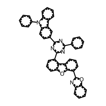 c1ccc(-c2nc(-c3ccc4c(c3)c3ccccc3n4-c3ccccc3)nc(-c3cccc4oc5c(-c6nc7ccccc7o6)cccc5c34)n2)cc1